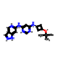 CC(C)(C)[Si](C)(C)O[C@H]1C[C@H](Nc2cc(Nc3cc4[nH]ncc4cn3)ncn2)C1